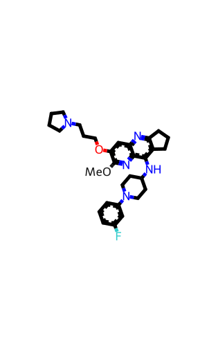 COc1nc2c(NC3CCN(c4cccc(F)c4)CC3)c3c(nc2cc1OCCCN1CCCC1)CCC3